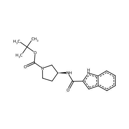 CC(C)(C)OC(=O)N1CC[C@H](NC(=O)c2cc3ccccc3[nH]2)C1